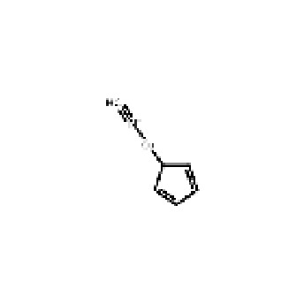 C#[N+][Cu][CH]1C=CC=C1